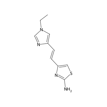 CCn1cnc(C=Cc2csc(N)n2)c1